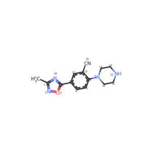 Cc1noc(-c2ccc(N3CCNCC3)c(C#N)c2)n1